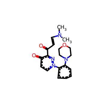 CN(C)/C=C/C(=O)c1nn(-c2ccccc2N2CCOCC2)ccc1=O